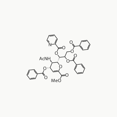 COC(=O)C1=C[C@H](OC(=O)c2ccccc2)[C@@H](NC(C)=O)[C@H](C(OC(=O)c2ccccn2)C(COC(=O)c2ccccc2)OC(=O)c2ccccc2)O1